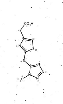 Cn1nnnc1Sc1nc(CC(=O)O)cs1